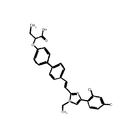 CCC(Oc1ccc(-c2ccc(/C=C/c3nc(-c4ccc(Cl)cc4Cl)cn3CC)cc2)cc1)C(=O)O